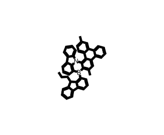 CCCC1c2ccccc2-c2cccc(B3c4c(C)cc5c6ccccc6c6cc(C)ccc6c5c4-n4c5ccccc5c5cccc3c54)c21